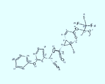 COC(C)(OC(=O)/C=C\[C@H]1[C@@H](C(=O)O[C@H](C#N)c2cccc(Oc3ccccc3)c2)C1(C)C)C(F)(F)F